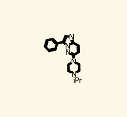 CC(C)N1CCN(c2ccc3ncc(-c4ccccc4)n3n2)CC1